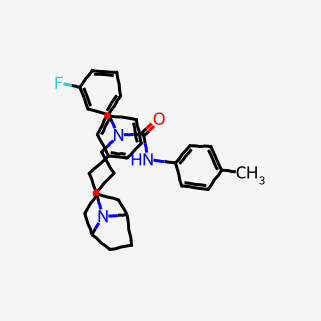 Cc1ccc(NC(=O)N(CCCN2C3CCC2CC(Cc2ccccc2)C3)c2cccc(F)c2)cc1